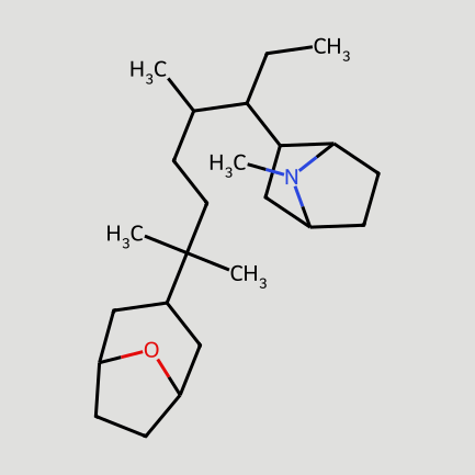 CCC(C(C)CCC(C)(C)C1CC2CCC(C1)O2)C1CC2CCC1N2C